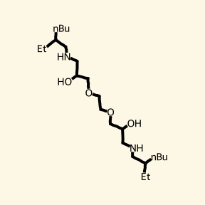 CCCCC(CC)CNCC(O)COCCOCC(O)CNCC(CC)CCCC